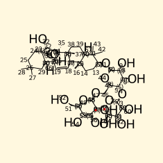 C[C@@H]1O[C@@H](O[C@H]2[C@H](O)[C@@H](O)[C@H](O[C@H]3CC[C@]4(C)[C@H]5C=C[C@]67OC[C@@]8(CCC(C)(C)C[C@H]86)[C@@H](O)C[C@@]7(C)[C@]5(C)CC[C@H]4C3(C)C)O[C@@H]2CO[C@@H]2O[C@H](CO)[C@@H](O)[C@H](O)[C@H]2O)[C@H](O)[C@H](O)[C@H]1O